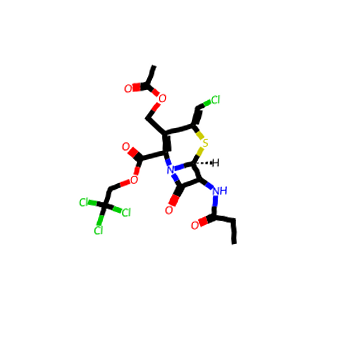 CCC(=O)NC1C(=O)N2C(C(=O)OCC(Cl)(Cl)Cl)=C(COC(C)=O)C(=CCl)S[C@@H]12